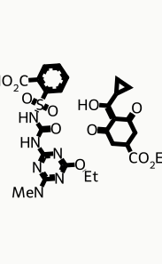 CCOC(=O)C1CC(=O)C(=C(O)C2CC2)C(=O)C1.CCOc1nc(NC)nc(NC(=O)NS(=O)(=O)c2ccccc2C(=O)O)n1